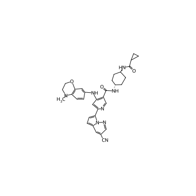 CN1CCOc2cc(Nc3cc(-c4ccc5cc(C#N)cnn45)ncc3C(=O)N[C@H]3CC[C@H](NC(=O)C4CC4)CC3)ccc21